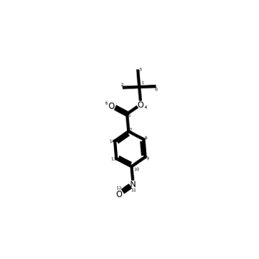 CC(C)(C)OC(=O)c1ccc(N=O)cc1